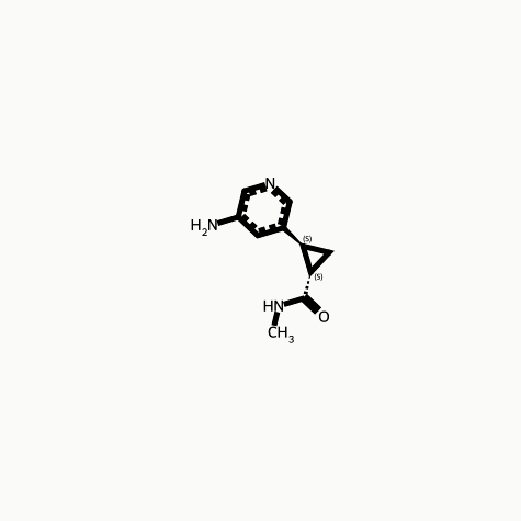 CNC(=O)[C@H]1C[C@@H]1c1cncc(N)c1